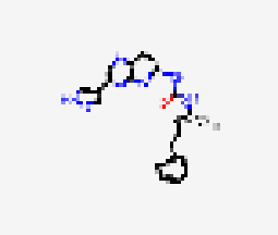 C[C@H](CCCc1ccccc1)NC(=O)Nc1ccc2ncc(-c3cn[nH]c3)nc2n1